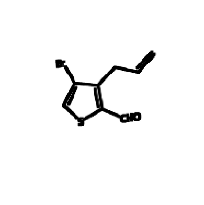 C=CCc1c(Br)csc1C=O